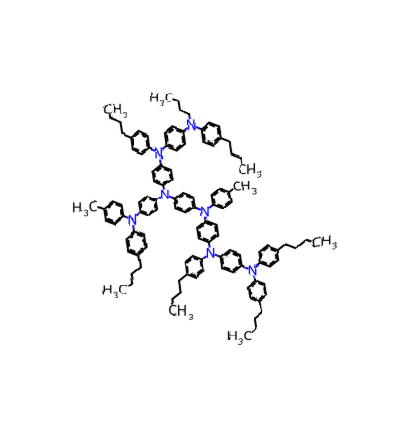 CCCCc1ccc(N(CCCC)c2ccc(N(c3ccc(CCCC)cc3)c3ccc(N(c4ccc(N(c5ccc(C)cc5)c5ccc(CCCC)cc5)cc4)c4ccc(N(c5ccc(C)cc5)c5ccc(N(c6ccc(CCCC)cc6)c6ccc(N(c7ccc(CCCC)cc7)c7ccc(CCCC)cc7)cc6)cc5)cc4)cc3)cc2)cc1